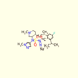 CC(C)c1cc(F)cc(C(C)C)c1CC(=O)NS(=O)(=O)N(c1cnn(C)c1)C1CCCN(C)C1.[Na]